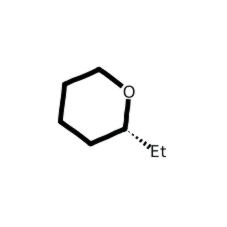 CC[C@@H]1CCCCO1